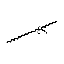 CCCCCCCCCCCCCCCCCCC(=O)OC(CC=O)CCCCCCCCC